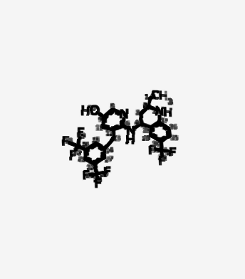 CC[C@@H]1C[C@H](Nc2ncc(O)cc2Cc2cc(C(F)(F)F)cc(C(F)(F)F)c2)c2cc(C(F)(F)F)ccc2N1